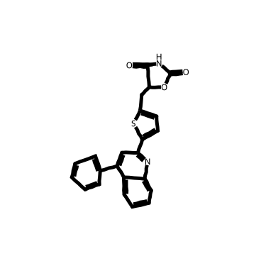 O=C1NC(=O)C(Cc2ccc(-c3cc(-c4ccccc4)c4ccccc4n3)s2)O1